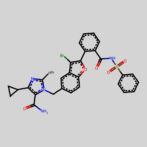 CCCc1nc(C2CC2)c(C(N)=O)n1Cc1ccc2oc(-c3ccccc3C(=O)NS(=O)(=O)c3ccccc3)c(Br)c2c1